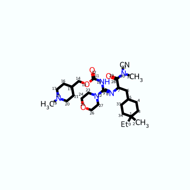 CCC1(C)CCC(CC(N=C(NC(=O)OCC2CCN(C)CC2)N2CCOCC2)C(=O)N(C)C#N)CC1